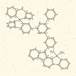 CC1(C)c2ccccc2-c2ccc3c4ccccc4n(-c4cccc(-c5nc(-c6ccccc6)nc(-c6ccc7c(c6)C6(c8ccccc8Oc8ccccc86)c6ccccc6-7)n5)c4)c3c21